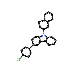 Clc1ccc(-c2ccc3c(c2)c2ccccc2n3-c2ccc3ccccc3c2)cc1